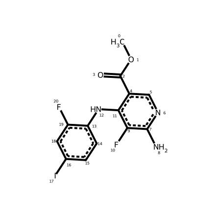 COC(=O)c1cnc(N)c(F)c1Nc1ccc(I)cc1F